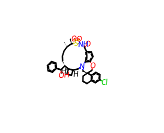 C[C@@H]1[C@@H](C)CCC[C@@H]([C@@H](O)c2ccccc2)[C@@H]2CC[C@H]2CN2C[C@@]3(CCCc4cc(Cl)ccc43)COc3ccc(cc32)C(=O)NS1(=O)=O